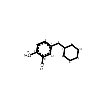 Oc1ccc(CC2CCCCC2)cc1Cl